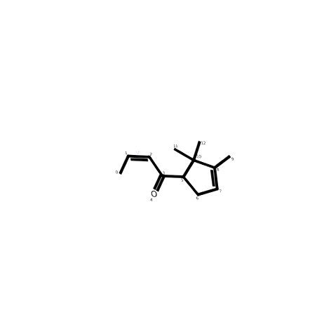 C/C=C\C(=O)C1CC=C(C)C1(C)C